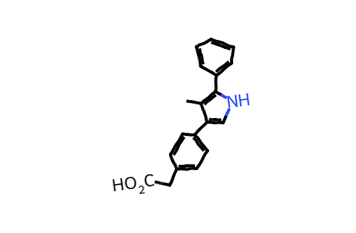 Cc1c(-c2ccc(CC(=O)O)cc2)c[nH]c1-c1ccccc1